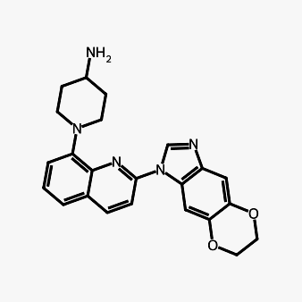 NC1CCN(c2cccc3ccc(-n4cnc5cc6c(cc54)OCCO6)nc23)CC1